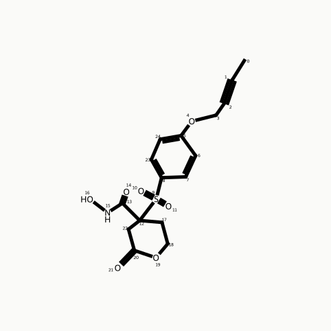 CC#CCOc1ccc(S(=O)(=O)C2(C(=O)NO)CCOC(=O)C2)cc1